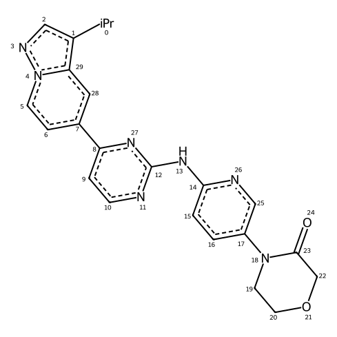 CC(C)c1cnn2ccc(-c3ccnc(Nc4ccc(N5CCOCC5=O)cn4)n3)cc12